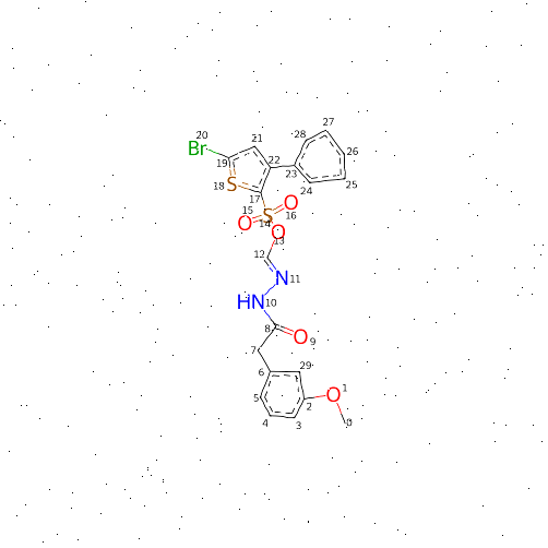 COc1cccc(CC(=O)NN=COS(=O)(=O)c2sc(Br)cc2-c2ccccc2)c1